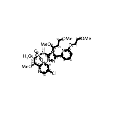 COCCOc1cccc(-c2nnc(NS(=O)(=O)[C@@H](C)[C@H](OC)c3ncc(Cl)cn3)n2C(CCOC)OC)n1